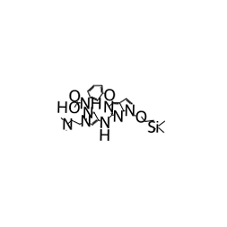 CN(C)CCn1cc(Nc2nc(Oc3cccc(NC(=O)O)c3)c3ccn(COCC[Si](C)(C)C)c3n2)cn1